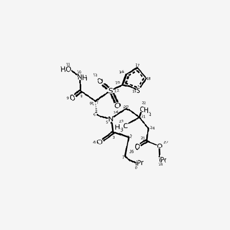 CC(C)CCC(=O)N(C[C@H](C(=O)NO)S(=O)(=O)c1cccs1)CC(C)(C)CC(=O)OC(C)C